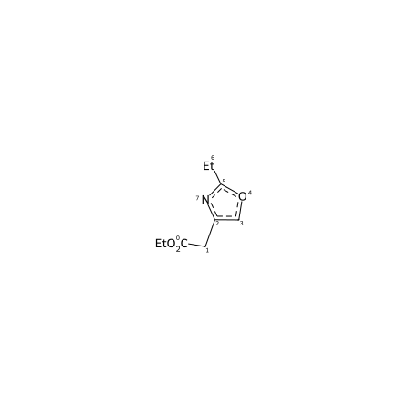 CCOC(=O)Cc1coc(CC)n1